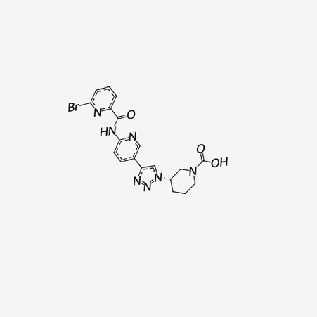 O=C(Nc1ccc(-c2cn([C@H]3CCCN(C(=O)O)C3)nn2)cn1)c1cccc(Br)n1